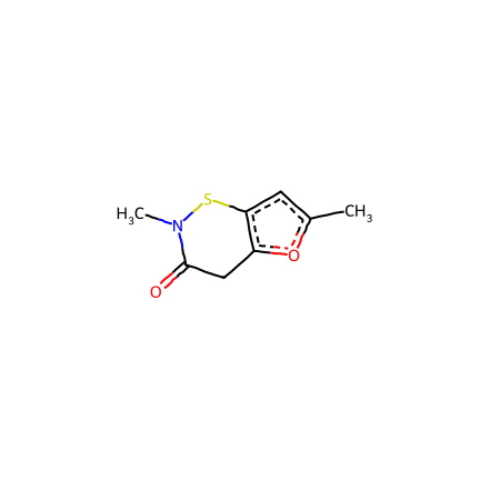 Cc1cc2c(o1)CC(=O)N(C)S2